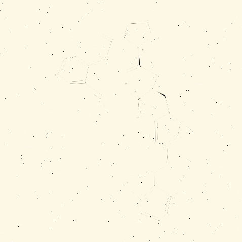 CCc1ccccc1NC(=O)[C@@H]1OCO[C@H]1C(=O)N[C@@H](Cc1ccc(OCc2c(Cl)cccc2Cl)cc1)C(=O)O